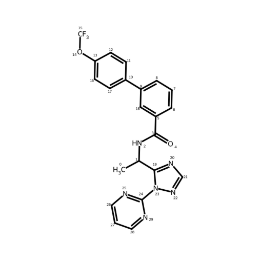 CC(NC(=O)c1cccc(-c2ccc(OC(F)(F)F)cc2)c1)c1ncnn1-c1ncccn1